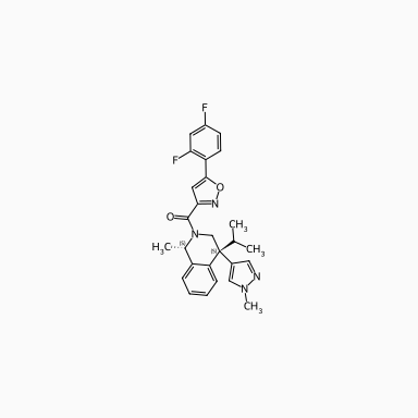 CC(C)[C@]1(c2cnn(C)c2)CN(C(=O)c2cc(-c3ccc(F)cc3F)on2)[C@@H](C)c2ccccc21